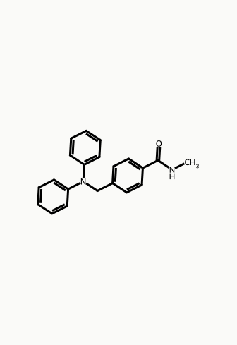 CNC(=O)c1ccc(CN(c2ccccc2)c2ccccc2)cc1